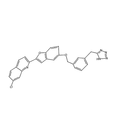 Clc1ccc2ccc(-c3cc4cc(OCc5cccc(Cc6nnn[nH]6)c5)ccc4o3)nc2c1